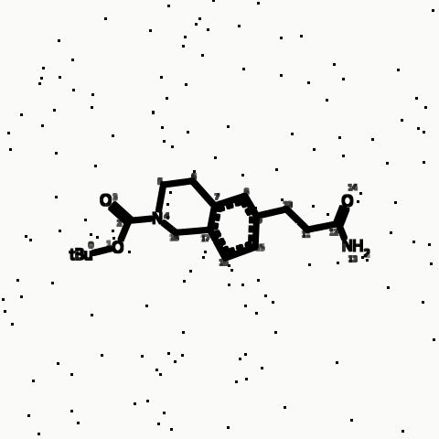 CC(C)(C)OC(=O)N1CCc2cc(CCC(N)=O)ccc2C1